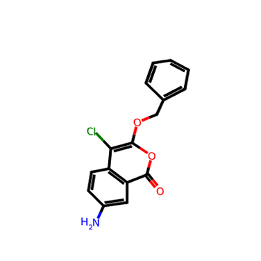 Nc1ccc2c(Cl)c(OCc3ccccc3)oc(=O)c2c1